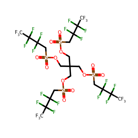 O=S(=O)(CC(F)(F)C(F)(F)C(F)(F)F)OCC(COS(=O)(=O)CC(F)(F)C(F)(F)C(F)(F)F)(COS(=O)(=O)CC(F)(F)C(F)(F)C(F)(F)F)COS(=O)(=O)CC(F)(F)C(F)(F)C(F)(F)F